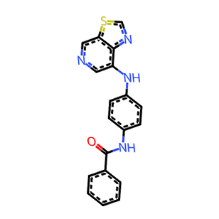 O=C(Nc1ccc(Nc2cncc3scnc23)cc1)c1ccccc1